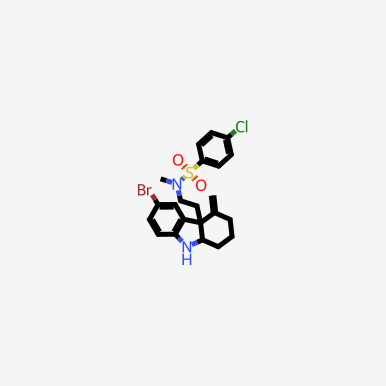 C=C1CCCC2Nc3ccc(Br)cc3C12CCN(C)S(=O)(=O)c1ccc(Cl)cc1